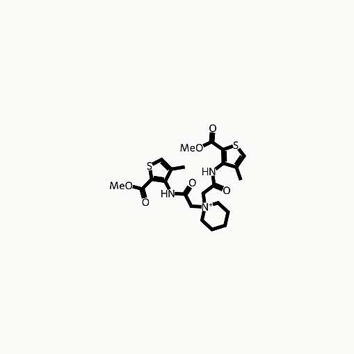 COC(=O)c1scc(C)c1NC(=O)C[N+]1(CC(=O)Nc2c(C)csc2C(=O)OC)CCCCC1